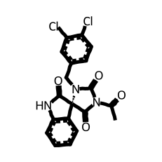 CC(=O)N1C(=O)N(Cc2ccc(Cl)c(Cl)c2)[C@]2(C(=O)Nc3ccccc32)C1=O